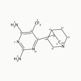 Nc1nc(N)c(C(F)(F)F)c(C2CN3CCC2CC3)n1